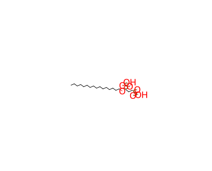 CCCCCCCCCCCCCCCCOC(CCS(=O)(=O)O)S(=O)(=O)O